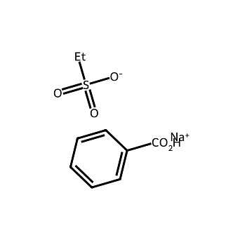 CCS(=O)(=O)[O-].O=C(O)c1ccccc1.[Na+]